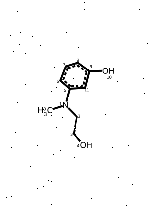 CN(CCO)c1cccc(O)c1